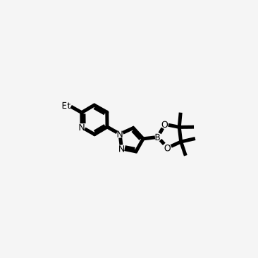 CCc1ccc(-n2cc(B3OC(C)(C)C(C)(C)O3)cn2)cn1